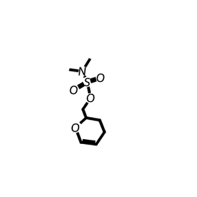 CN(C)S(=O)(=O)OCC1CCC=CO1